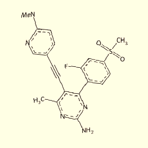 CNc1ccc(C#Cc2c(C)nc(N)nc2-c2ccc(S(C)(=O)=O)cc2F)cn1